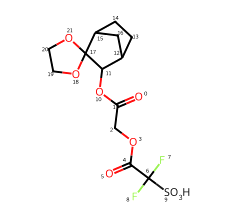 O=C(COC(=O)C(F)(F)S(=O)(=O)O)OC1C2CCC(C2)C12OCCO2